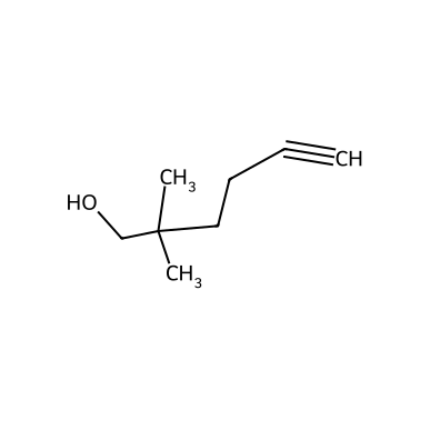 C#CCCC(C)(C)CO